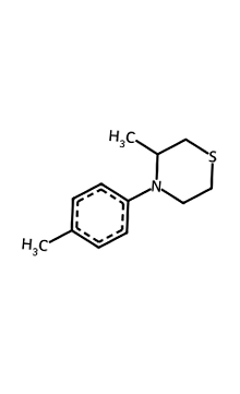 Cc1ccc(N2CCSCC2C)cc1